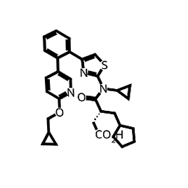 O=C(O)C[C@@H](CC1CCCC1)C(=O)N(c1nc(-c2ccccc2-c2ccc(OCC3CC3)nc2)cs1)C1CC1